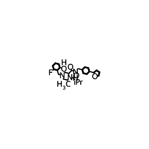 CC(C)C(=O)N1C(C)CN(Cc2c(O)cccc2F)CC1C(=O)NCc1ccc(-c2ccco2)cc1